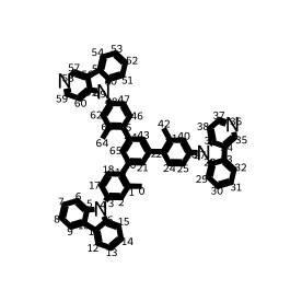 Cc1cc(-n2c3ccccc3c3ccccc32)ccc1-c1cc(-c2ccc(-n3c4ccccc4c4cnccc43)cc2C)cc(-c2ccc(-n3c4ccccc4c4cnccc43)cc2C)c1